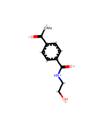 COC(=O)c1ccc(C(=O)NCCO)cc1